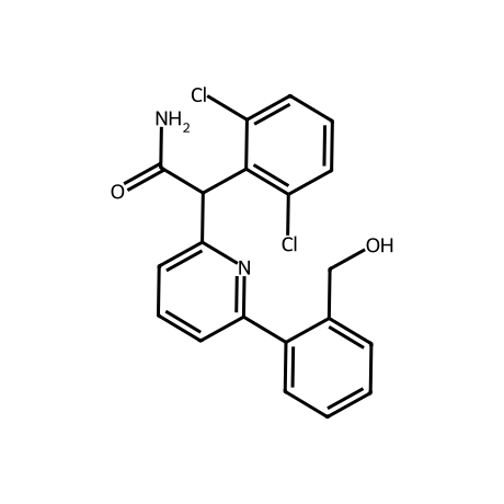 NC(=O)C(c1cccc(-c2ccccc2CO)n1)c1c(Cl)cccc1Cl